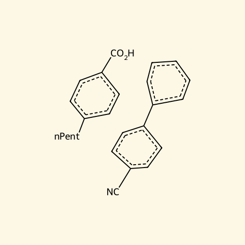 CCCCCc1ccc(C(=O)O)cc1.N#Cc1ccc(-c2ccccc2)cc1